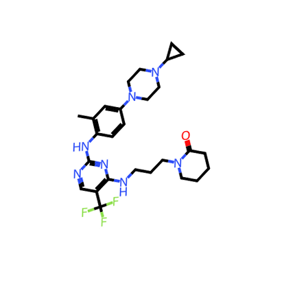 Cc1cc(N2CCN(C3CC3)CC2)ccc1Nc1ncc(C(F)(F)F)c(NCCCN2CCCCC2=O)n1